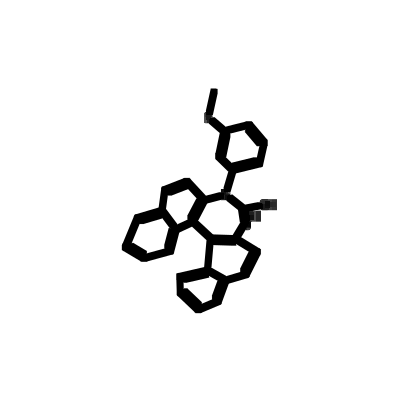 CSc1cccc(N(C(=O)O)c2ccc3ccccc3c2-c2c(O)ccc3ccccc23)c1